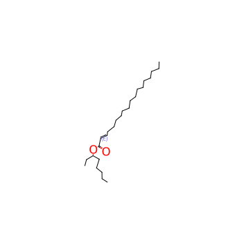 CCCCCCCCCCCCCCC/C=C/C(=O)OC(CC)CCCCC